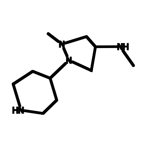 CNC1CN(C)N(C2CCNCC2)C1